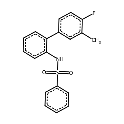 Cc1cc(-c2ccccc2NS(=O)(=O)c2ccccc2)ccc1F